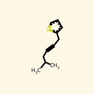 CC(C)CC#CCc1cccs1